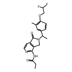 CCC(=O)Nc1nccc2c1CN(C(C)c1ccc(OCC(F)F)c(C)c1)C2=O